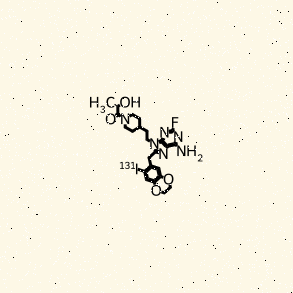 C[C@H](O)C(=O)N1CCC(CCn2c(Cc3cc4c(cc3[131I])OCCO4)nc3c(N)nc(F)nc32)CC1